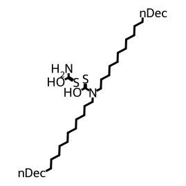 CCCCCCCCCCCCCCCCCCCCCN(CCCCCCCCCCCCCCCCCCCCC)C(O)=S.NC(O)=S